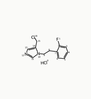 Cl.Fc1ccccc1CCn1cncc1CCl